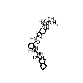 CC(C)(C)NC(=O)N1CCc2nc(NC(=O)c3cccc4[nH]c(NC(=O)c5cc6ccccc6cn5)nc34)sc2C1